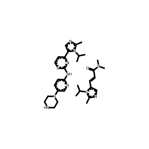 Cc1ncc(-c2ccnc(Nc3ccc(N4CCNCC4)cn3)n2)n1C(C)C.Cc1ncc(C=CC(=O)N(C)C)n1C(C)C